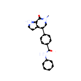 Cn1cc(-c2ccc(C(=O)Nc3ccccc3)cc2)c2cc[nH]c2c1=O